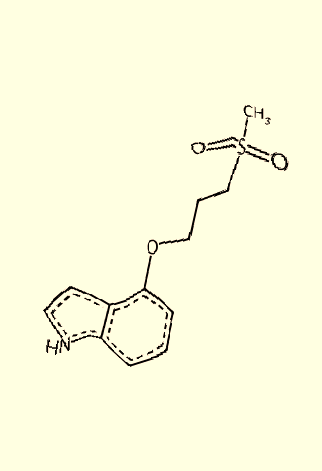 CS(=O)(=O)CCCOc1cccc2[nH]ccc12